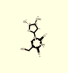 CC[C@H]1OC(n2cc(CO)c(=O)[nH]c2=O)C[C@@H]1OC(C)=O